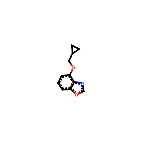 c1cc(OCC2CC2)c2ncoc2c1